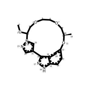 COC1COCCOC[C@@H](C)Oc2ccc3[nH]nc(c3c2)-c2cnn1c2